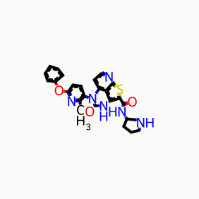 Cc1nc(Oc2ccccc2)ccc1N1C(=O)Nc2c(C(=O)NC3CCCNC3)sc3nccc1c23